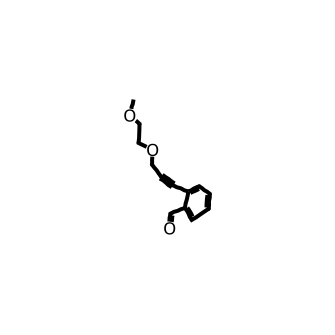 COCCOCC#Cc1ccccc1C=O